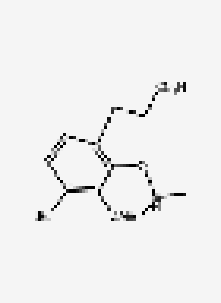 COc1c(C(C)(C)C)ccc(CCC(=O)O)c1O[SiH](C)C